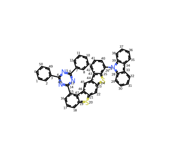 c1ccc(-c2nc(-c3ccccc3)nc(-c3cccc4sc5cc6sc7c(-n8c9ccccc9c9ccccc98)cccc7c6cc5c34)n2)cc1